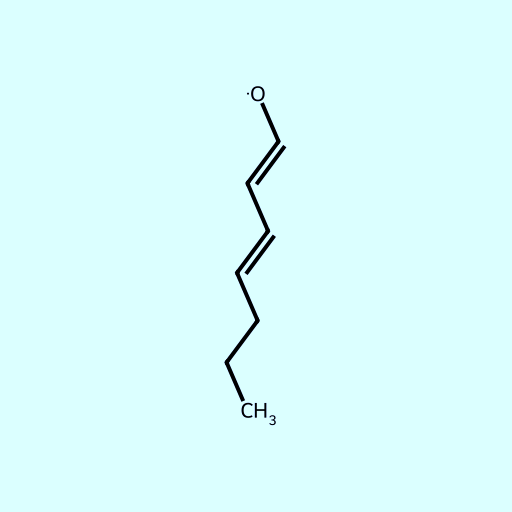 CCCC=CC=C[O]